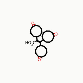 O=C(O)C(=C(C1CCCCC2OC2CCC1)C1CCCCC2OC2CCC1)C1CCCCC2OC2CCC1